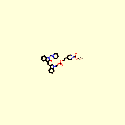 CC(C)(C)OC(=O)N1CCC(CCOC(=O)OCn2cc(/C=C3\C(=O)N(CN4CCCCC4)c4ccccc43)c3ccccc32)CC1